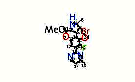 COC(=O)c1[nH]c(C)c(Br)c1C1C=CC(c2nccc(C)n2)=C(F)C1=O